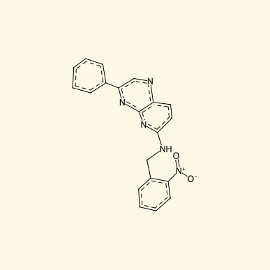 O=[N+]([O-])c1ccccc1CNc1ccc2ncc(-c3ccccc3)nc2n1